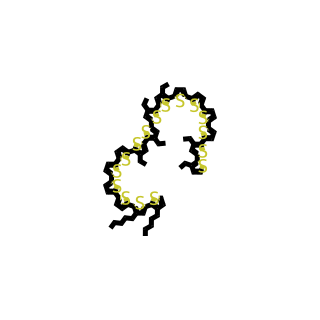 CCCCCc1ccsc1-c1cc(CCCCC)c(-c2ccc(-c3ccc(-c4ccc(-c5ccc(-c6sc(-c7sc(-c8cc(CC)c(-c9cc(CC)c(-c%10ccc(-c%11ccc(-c%12ccc(-c%13ccc(-c%14sc(-c%15sccc%15CC)cc%14CC)s%13)s%12)s%11)s%10)s9)s8)cc7CC)cc6CC)s5)s4)s3)s2)s1